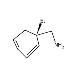 CC[C@@]1(CN)C=CC=CC1